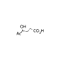 CC(=O)[C@@H](O)CCC(=O)O